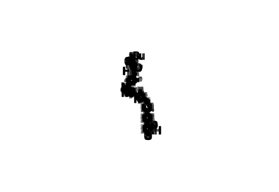 Cc1cc(-c2ncnn3cc(-c4ncc(CN5CCC(c6ccc(C7CCC(=O)NC7=O)cc6)CC5)cc4C)cc23)ccc1CNC(=O)c1noc(C(C)(C)C)n1